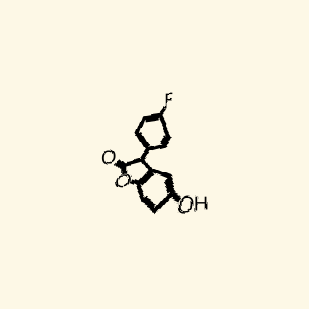 O=C1Oc2ccc(O)cc2C1c1ccc(F)cc1